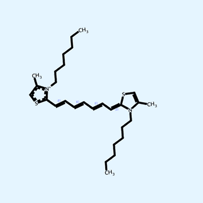 CCCCCCCN1C(C)=CS\C1=C/C=C/C=C/C=C/c1scc(C)[n+]1CCCCCCC